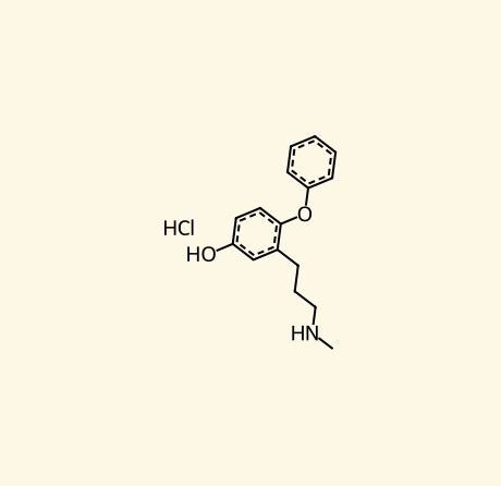 CNCCCc1cc(O)ccc1Oc1ccccc1.Cl